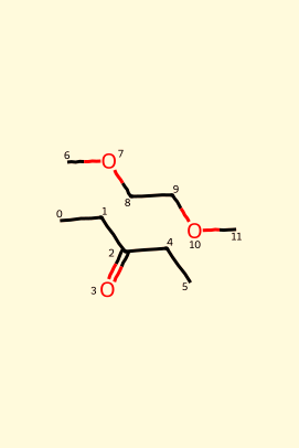 CCC(=O)CC.COCCOC